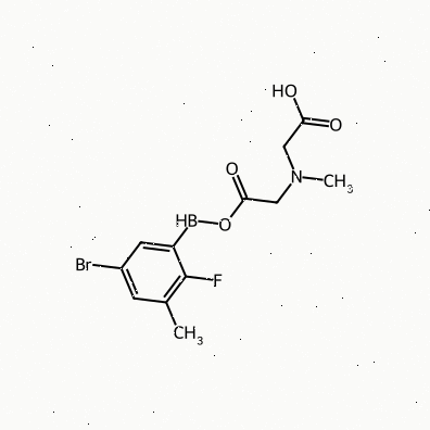 Cc1cc(Br)cc(BOC(=O)CN(C)CC(=O)O)c1F